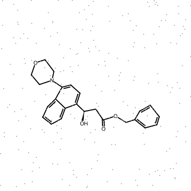 O=C(C[C@@H](O)c1ccc(N2CCOCC2)c2ccccc12)OCc1ccccc1